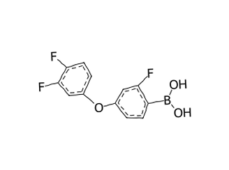 OB(O)c1ccc(Oc2ccc(F)c(F)c2)cc1F